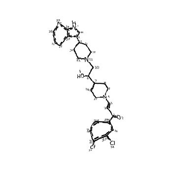 O=C(C=CN1CCC(C(O)CN2CCC(c3c[nH]c4ncccc34)CC2)CC1)c1ccc(Cl)c(Cl)c1